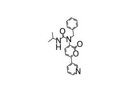 CC(C)NC(=O)N(Cc1ccccc1)c1ccc(-c2cccnc2)oc1=O